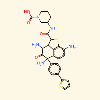 Nc1ccc2c3c1SC(C(=O)NC1CCCN(C(=O)O)C1)C3C(N)C(=O)C2(N)c1ccc(-c2cccs2)cc1